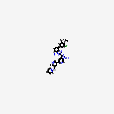 COc1cc(F)cc(-c2cccc3[nH]c(-c4n[nH]c5cnc(-c6cncc(CN7CCCCC7)c6)cc45)nc23)c1